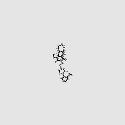 CCn1c(=O)n(CCN2CCN(c3ccccc3OC)CC2)c(=O)c2cc3c(cc21)CCCOO3